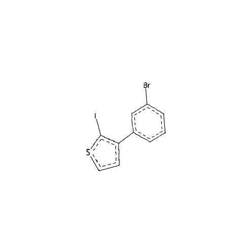 Brc1cccc(-c2ccsc2I)c1